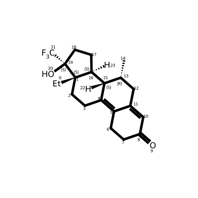 CC[C@]12CCC3=C4CCC(=O)C=C4C[C@@H](C)[C@H]3[C@@H]1CC[C@@]2(O)C(F)(F)F